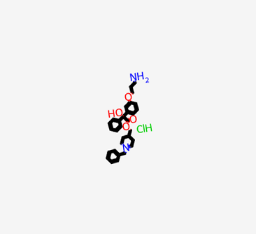 Cl.NCCCOc1cccc([C@](O)(C(=O)OCC2CCN(Cc3ccccc3)CC2)c2ccccc2)c1